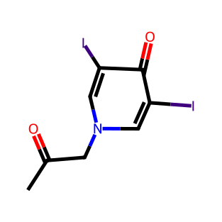 CC(=O)Cn1cc(I)c(=O)c(I)c1